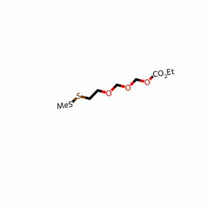 CCOC(=O)OCOCOCCSSC